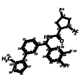 CC(=O)N1CC(F)CC1C(=O)NC(c1cccc(-c2ccnn2C)c1)c1ccc(C(C)C)c(F)n1